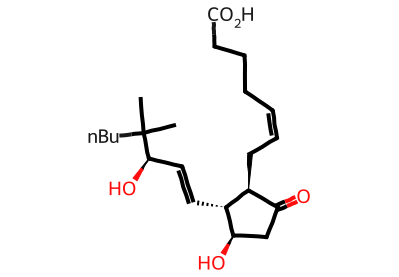 CCCCC(C)(C)[C@H](O)/C=C/[C@H]1[C@H](O)CC(=O)[C@@H]1C/C=C\CCCC(=O)O